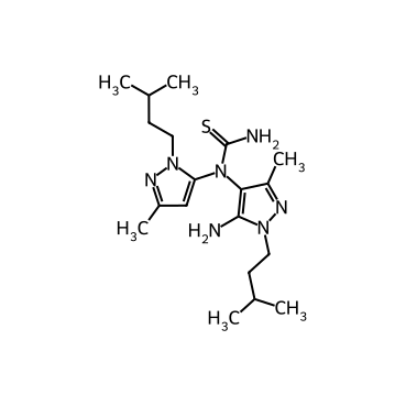 Cc1cc(N(C(N)=S)c2c(C)nn(CCC(C)C)c2N)n(CCC(C)C)n1